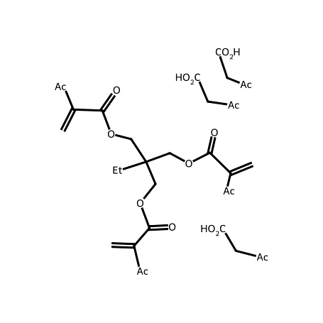 C=C(C(C)=O)C(=O)OCC(CC)(COC(=O)C(=C)C(C)=O)COC(=O)C(=C)C(C)=O.CC(=O)CC(=O)O.CC(=O)CC(=O)O.CC(=O)CC(=O)O